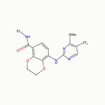 CCNC(=O)c1ccc(Nc2ncc(C(F)(F)F)c(NC)n2)c2c1OCCO2